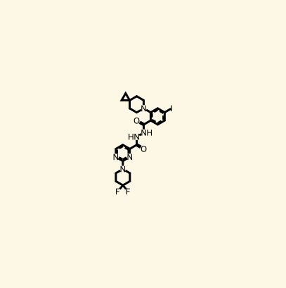 O=C(NNC(=O)c1ccc(I)cc1N1CCC2(CC1)CC2)c1ccnc(N2CCC(F)(F)CC2)n1